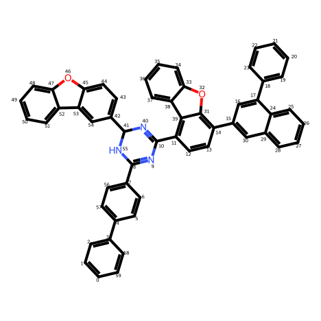 c1ccc(-c2ccc(C3=NC(c4ccc(-c5cc(-c6ccccc6)c6ccccc6c5)c5oc6ccccc6c45)=NC(c4ccc5oc6ccccc6c5c4)N3)cc2)cc1